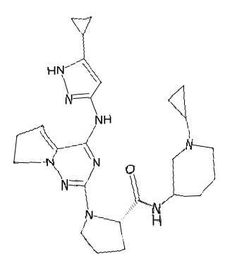 O=C(NC1CCCN(C2CC2)C1)[C@@H]1CCCN1C1=NN2CCC=C2C(Nc2cc(C3CC3)[nH]n2)=N1